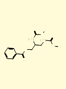 CC(C)(C)OC(=O)NCC(CSC(=O)c1ccccc1)NC(=O)OC(C)(C)C